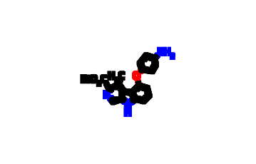 CCOC(=O)c1ncc2[nH]c3cccc(Oc4ccc(N)cc4)c3c2c1C